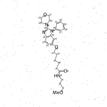 COCCCNC(=O)CCCCCOc1ccc2nc(N3CCOCC3)n(-c3ccccc3)c2c1